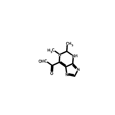 CC1NC2=NC=NC2=C(C(=O)C=O)N1C